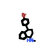 CNC1CCC(c2ccc(Br)cc2)c2ccccc21